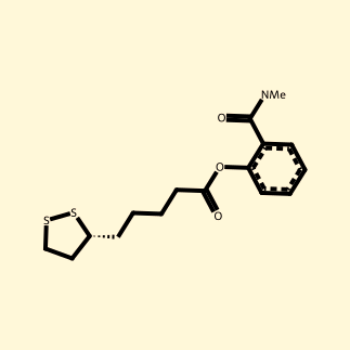 CNC(=O)c1ccccc1OC(=O)CCCC[C@@H]1CCSS1